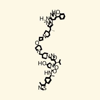 Cc1ncsc1-c1ccc([C@H](C)NC(=O)[C@@H]2C[C@@H](O)CN2C(=O)[C@@H](c2cc(N3CCC(CN4CCC(OC5CC(N6CCC([C@@H](C)c7cnn(-c8cc(-c9ccccc9O)nnc8N)c7)CC6)C5)CC4)CC3)no2)C(C)C)cc1